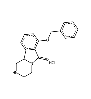 Cl.O=C1c2c(OCc3ccccc3)cccc2C2CNCCN12